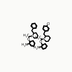 CC(Oc1ccccc1N)N1CCCCC1Cc1ccc(Cl)cc1.CC(Oc1ccccc1N)N1CCCCC1Cc1ccccc1